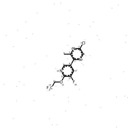 Cc1nc(Cl)cnc1-c1cnc(OCC(F)(F)F)c(F)c1